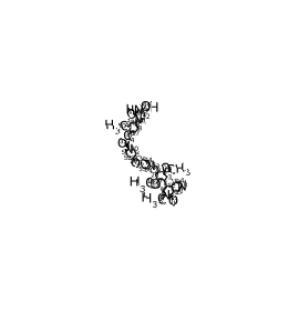 COc1cc(-c2cn(C)c(=O)c3cnccc23)c(OC)cc1CN1CCC(OC2CCN(C(=O)COC3=CC=C(N4CCC(O)NC4=O)CC3C)CC2)CC1